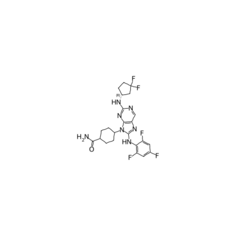 NC(=O)C1CCC(n2c(Nc3c(F)cc(F)cc3F)nc3cnc(N[C@@H]4CCC(F)(F)C4)nc32)CC1